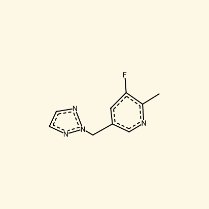 Cc1ncc(Cn2nccn2)cc1F